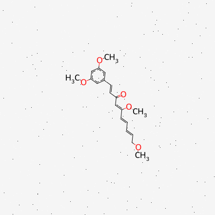 COC/C=C/C=C/C(=C/C(=O)/C=C/c1cc(OC)cc(OC)c1)OC